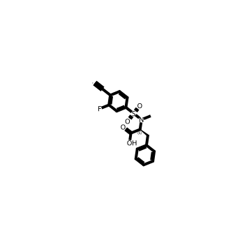 [C]#Cc1ccc(S(=O)(=O)N(C)[C@@H](Cc2ccccc2)C(=O)O)cc1F